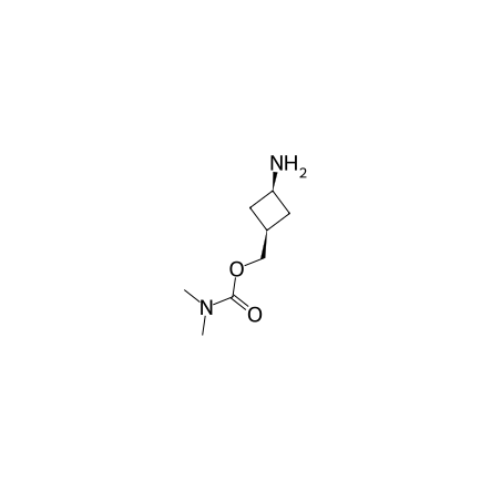 CN(C)C(=O)OC[C@H]1C[C@@H](N)C1